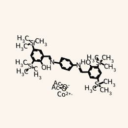 CC(=O)[O-].CC(=O)[O-].C[Si](C)(C)c1cc(C=Nc2ccc(N=Cc3cc([Si](C)(C)C)cc([Si](C)(C)C)c3O)cc2)c(O)c([Si](C)(C)C)c1.[Co+2]